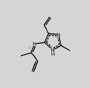 C=C/C(C)=N\c1[nH]c(C)nc1C=C